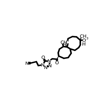 CC1CC[C@H](C(=O)Cn2nnn(CCC#N)c2=O)CCCC2CCC[C@@](C)(O)CCCC[C@@H]12